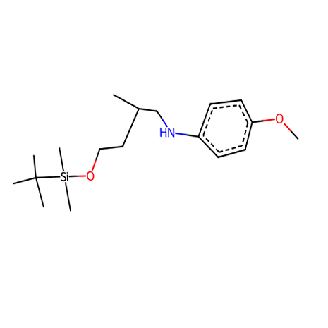 COc1ccc(NCC(C)CCO[Si](C)(C)C(C)(C)C)cc1